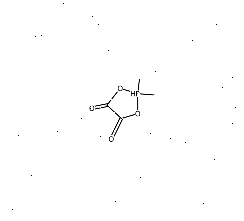 C[PH]1(C)OC(=O)C(=O)O1